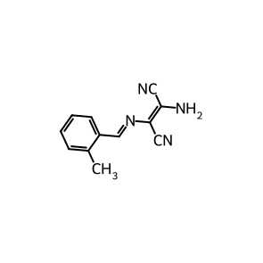 Cc1ccccc1/C=N/C(C#N)=C(/N)C#N